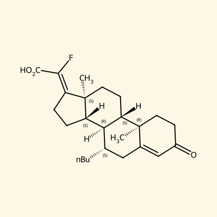 CCCC[C@H]1CC2=CC(=O)CC[C@]2(C)[C@H]2CC[C@]3(C)C(=C(F)C(=O)O)CC[C@H]3[C@H]12